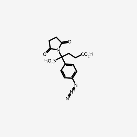 [N-]=[N+]=Nc1ccc(C(CCC(=O)O)(N2C(=O)CCC2=O)S(=O)(=O)O)cc1